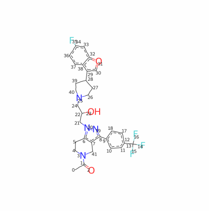 CC(=O)N1CCc2c(c(-c3ccc(C(F)(F)F)cc3)nn2CC(O)CN2CCC(c3coc4cc(F)ccc34)CC2)C1